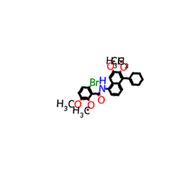 COc1ccc(Br)c(C(=O)Nc2cccc3c(C4=CCCCC4)c(OC)c(OC)cc23)c1OC